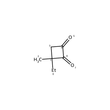 CCC1(C)CC(=O)C1=O